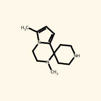 Cc1ccc2n1CCN(C)C21CCNCC1